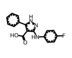 O=C(O)c1c(Nc2ccc(F)cc2)n[nH]c1-c1ccccc1